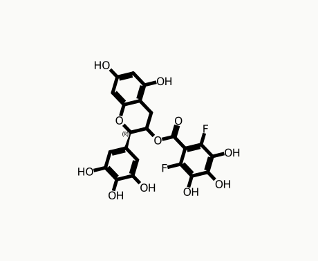 O=C(OC1Cc2c(O)cc(O)cc2O[C@@H]1c1cc(O)c(O)c(O)c1)c1c(F)c(O)c(O)c(O)c1F